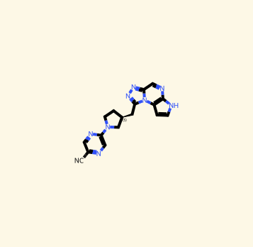 N#Cc1cnc(N2CC[C@@H](Cc3nnc4cnc5[nH]ccc5n34)C2)cn1